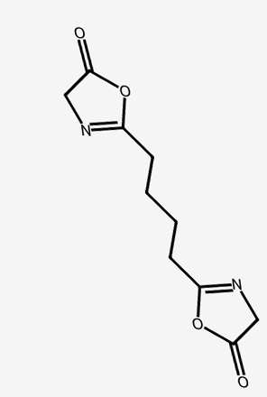 O=C1CN=C(CCCCC2=NCC(=O)O2)O1